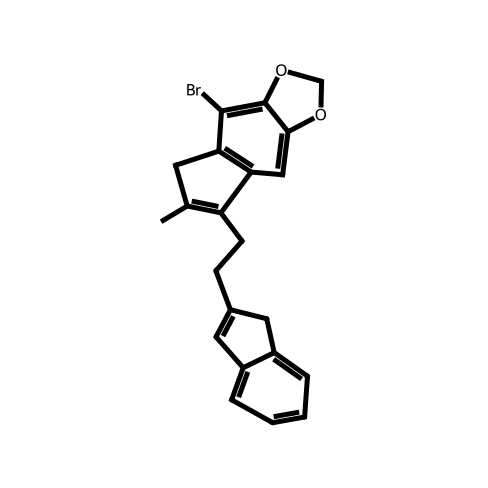 CC1=C(CCC2=Cc3ccccc3C2)c2cc3c(c(Br)c2C1)OCO3